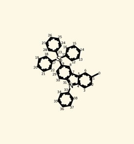 Cc1ccc2c(c1)c1cc([Si](c3ccccc3)(c3ccccc3)c3ccccc3)ccc1n2-c1ccccc1